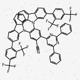 N#Cc1cc(-n2c3ccccc3c3ccc(-c4ccc(C(F)(F)F)cc4C(F)(F)F)cc32)c(-n2c3ccccc3c3ccc(-c4ccc(C(F)(F)F)cc4C(F)(F)F)cc32)cc1-c1cc(-c2ccccc2)nc(-c2ccccc2)n1